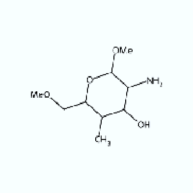 COCC1OC(OC)C(N)C(O)C1C